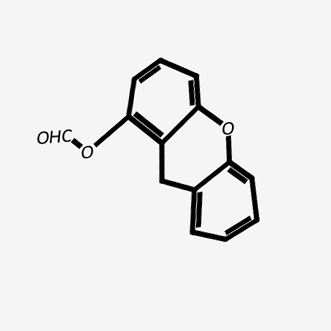 O=COc1cccc2c1Cc1ccccc1O2